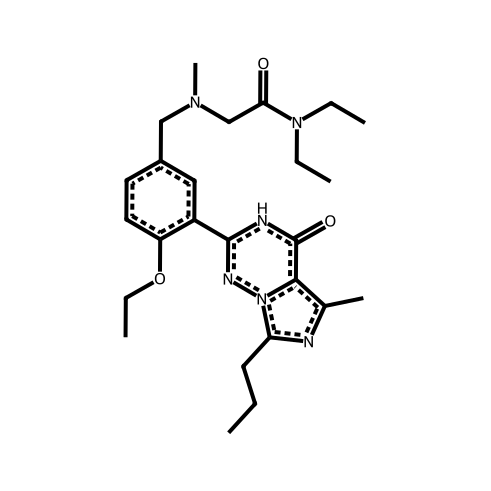 CCCc1nc(C)c2c(=O)[nH]c(-c3cc(CN(C)CC(=O)N(CC)CC)ccc3OCC)nn12